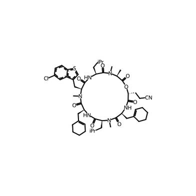 CC(C)C[C@@H]1NC(=O)[C@H](Cc2csc3ccc(Cl)cc23)N(C)C(=O)[C@H](CC2=CCCCC2)NC(=O)[C@H](CC(C)C)N(C)C(=O)[C@H](CC2=CCCCC2)NC(=O)[C@@H](CCC#N)OC(=O)[C@H](C)N(C)C1=O